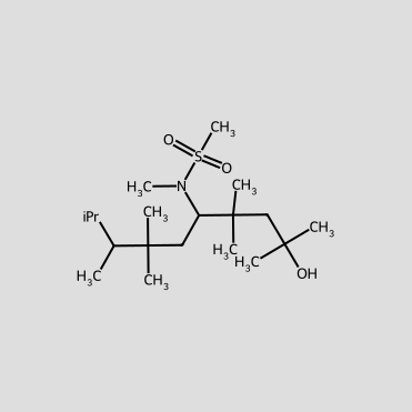 CC(C)C(C)C(C)(C)CC(N(C)S(C)(=O)=O)C(C)(C)CC(C)(C)O